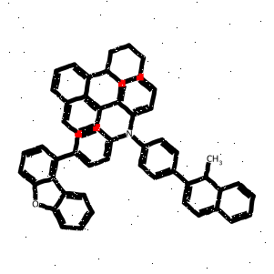 CC1C(c2ccc(N(c3ccc(-c4cccc5oc6ccccc6c45)cc3)c3ccccc3-c3cccc4cccc(C5CCCCC5)c34)cc2)=CC=C2C=CC=CC21